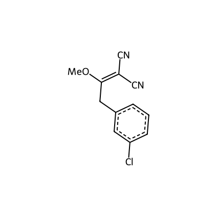 COC(Cc1cccc(Cl)c1)=C(C#N)C#N